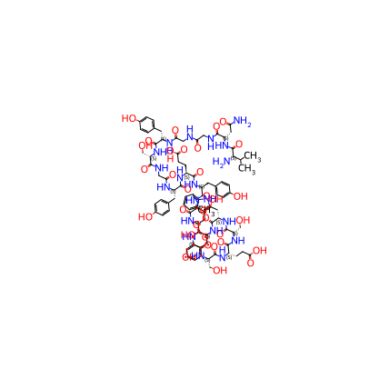 CC(C)[C@H](N)C(=O)N[C@@H](CC(N)=O)C(=O)NCC(=O)NCC(=O)N[C@@H](Cc1ccc(O)cc1)C(=O)N[C@@H](CO)C(=O)NCC(=O)N[C@@H](Cc1ccc(O)cc1)C(=O)N[C@@H](CCC(=O)O)C(=O)N[C@@H](Cc1ccc(O)cc1)C(=O)N[C@@H](C)C(=O)N[C@@H](Cc1c[nH]c2ccccc12)C(=O)N[C@@H](CO)C(=O)N[C@@H](CO)C(=O)N[C@@H](CCC(=O)O)C(=O)N[C@@H](CO)C(=O)N[C@@H](CC(=O)O)C(=O)N[C@@H](Cc1ccccc1)C(=O)O